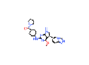 COc1nc(NC2CCC(C(=O)N3CCCC3)CC2)nc2[nH]cc(-c3ccc4nncn4c3)c12